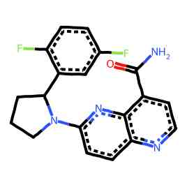 NC(=O)c1ccnc2ccc(N3CCCC3c3cc(F)ccc3F)nc12